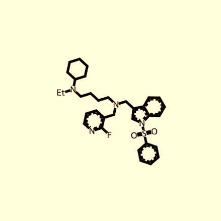 CCN(CCCCN(Cc1cccnc1F)Cc1cn(S(=O)(=O)c2ccccc2)c2ccccc12)C1CCCCC1